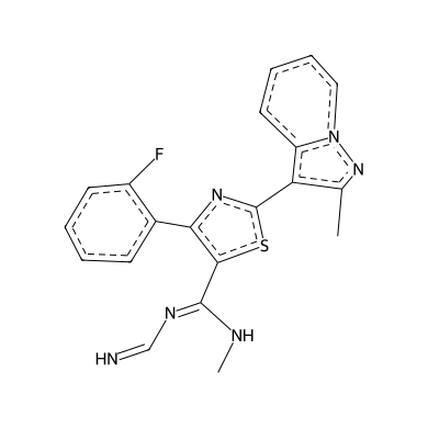 CN/C(=N\C=N)c1sc(-c2c(C)nn3ccccc23)nc1-c1ccccc1F